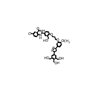 COc1ccc(C2CC(c3cc(CO)c(CO)c(CO)c3)=NO2)cc1OCCCOc1ccc(C2NC(=O)c3cc(Cl)ccc3N2)cc1CO